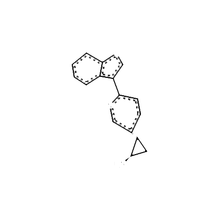 Cl.N[C@@H]1C[C@H]1c1ccc(-c2csc3ccccc23)nc1